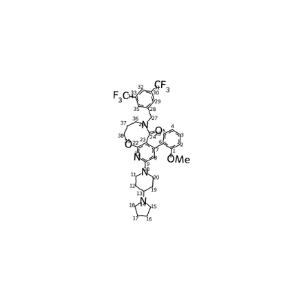 COc1ccccc1-c1cc(N2CCC(N3CCCC3)CC2)nc2c1C(=O)N(Cc1cc(C(F)(F)F)cc(C(F)(F)F)c1)CCCO2